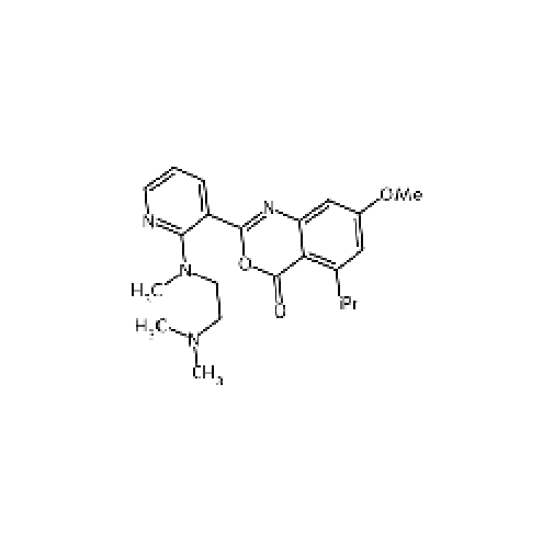 COc1cc(C(C)C)c2c(=O)oc(-c3cccnc3N(C)CCN(C)C)nc2c1